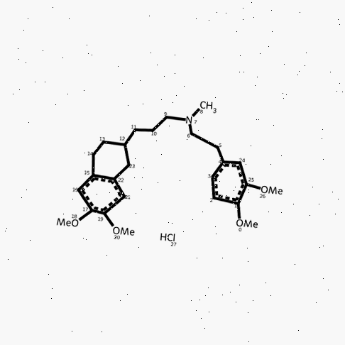 COc1ccc(CCN(C)CCCC2CCc3cc(OC)c(OC)cc3C2)cc1OC.Cl